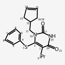 CC(C)c1c(Sc2ccccc2)n(CC2CC=CC2)c(=O)[nH]c1=O